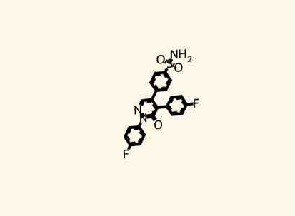 NS(=O)(=O)c1ccc(-c2cnn(-c3ccc(F)cc3)c(=O)c2-c2ccc(F)cc2)cc1